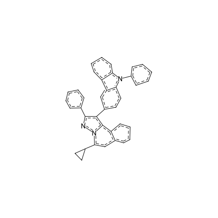 c1ccc(-c2nn3c(C4CC4)cc4ccccc4c3c2-c2ccc3c(c2)c2ccccc2n3-c2ccccc2)cc1